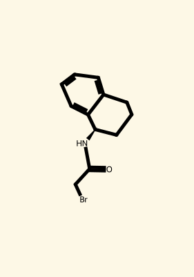 O=C(CBr)N[C@@H]1CCCc2ccccc21